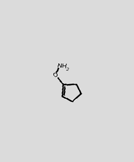 NOC1=CCCC1